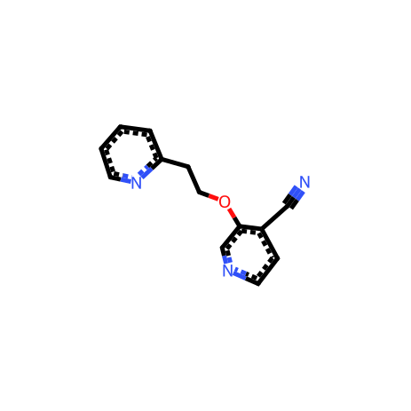 N#Cc1ccncc1OCCc1ccccn1